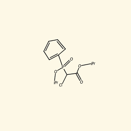 CC(C)OC(=O)C(Cl)P(=O)(OC(C)C)c1ccccc1